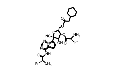 CC(C)[C@H](C)C(=O)Nc1ncnn2c([C@]3(C#N)O[C@H](COC(=O)CC4CCCCC4)[C@@H](OC(=O)[C@@H](N)C(C)C)[C@H]3O)ccc12